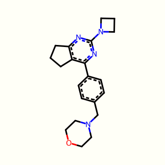 c1cc(-c2nc(N3CCC3)nc3c2CCC3)ccc1CN1CCOCC1